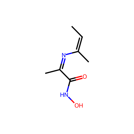 C/C=C(C)\N=C(\C)C(=O)NO